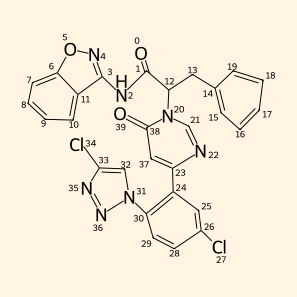 O=C(Nc1noc2ccccc12)C(Cc1ccccc1)n1cnc(-c2cc(Cl)ccc2-n2cc(Cl)nn2)cc1=O